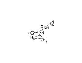 CC1CC(C)CN(c2ncc(C(=O)NCCCc3cncnc3)cc2C#Cc2ccc(F)cc2)C1